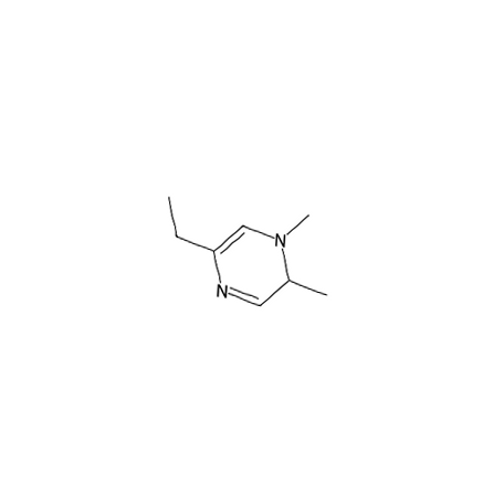 CCC1=CN(C)C(C)C=N1